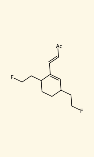 CC(=O)C=CC1=CC(CCF)CCC1CCF